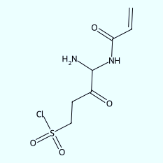 C=CC(=O)NC(N)C(=O)CCS(=O)(=O)Cl